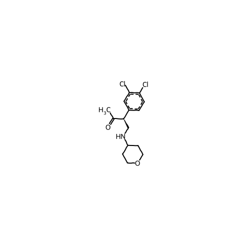 CC(=O)[C@H](CNC1CCOCC1)c1ccc(Cl)c(Cl)c1